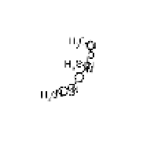 Cc1cccc(OCc2nnc(C3CCC(C4=NOC5(CCN(C)CC5)C4)CC3)n2C)c1